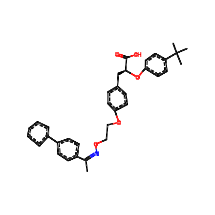 CC(=NOCCOc1ccc(C[C@H](Oc2ccc(C(C)(C)C)cc2)C(=O)O)cc1)c1ccc(-c2ccccc2)cc1